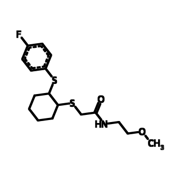 COCCNC(=O)CSC1CCCCC1Sc1ccc(F)cc1